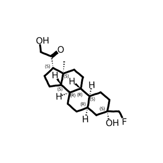 C[C@]12CC[C@H]3[C@@H](CC[C@@H]4C[C@](O)(CF)CC[C@@H]43)[C@@H]1CC[C@@H]2C(=O)CO